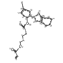 C=CC(=O)OCCCCC(=O)Oc1ccc(C)cc1-n1nc2ccccc2n1